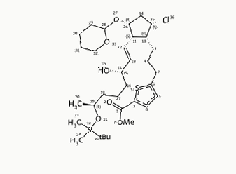 COC(=O)c1ccc(CCC[C@@H]2[C@H](C=C[C@@H](O)CCC[C@H](C)O[Si](C)(C)C(C)(C)C)[C@H](OC3CCCCO3)C[C@@H]2Cl)s1